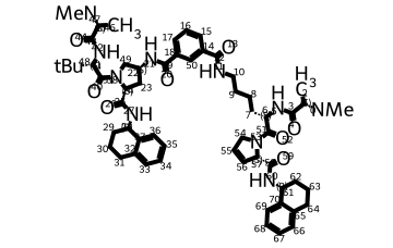 CN[C@@H](C)C(=O)N[C@@H](CCCCNC(=O)c1cccc(C(=O)N[C@H]2C[C@@H](C(=O)N[C@@H]3CCCc4ccccc43)N(C(=O)[C@@H](NC(=O)[C@H](C)NC)C(C)(C)C)C2)c1)C(=O)N1CC=C[C@H]1C(=O)N[C@@H]1CCCc2ccccc21